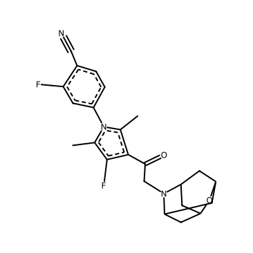 Cc1c(F)c(C(=O)CN2C3CC4CC2CC(C3)O4)c(C)n1-c1ccc(C#N)c(F)c1